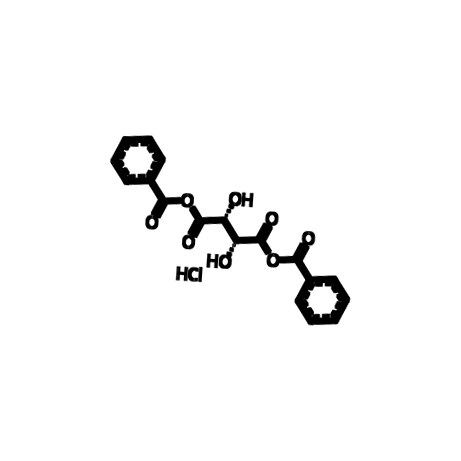 Cl.O=C(OC(=O)[C@H](O)[C@@H](O)C(=O)OC(=O)c1ccccc1)c1ccccc1